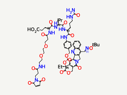 CC[C@]1(OC(=O)OCc2ccc(NC(=O)[C@H](CCCNC(N)=O)NC(=O)[C@@H](NC(=O)[C@H](CCC(=O)O)NC(=O)CCOCCOCCNC(=O)CCN3C(=O)C=CC3=O)C(C)C)cc2)C(=O)OCc2c1cc1n(c2=O)Cc2c-1nc1ccccc1c2/C=N/OC(C)(C)C